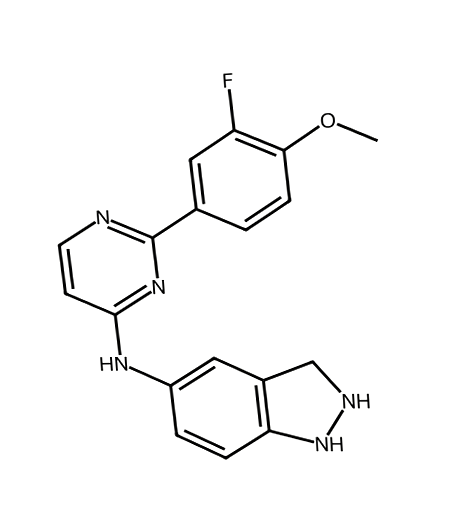 COc1ccc(-c2nccc(Nc3ccc4c(c3)CNN4)n2)cc1F